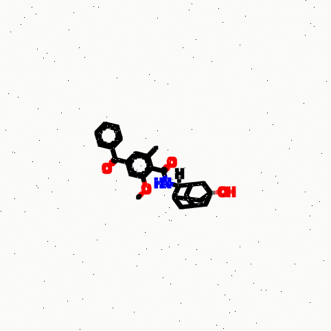 COc1cc(C(=O)c2ccccc2)cc(C)c1C(=O)N[C@H]1C2CC3CC1C[C@](O)(C3)C2